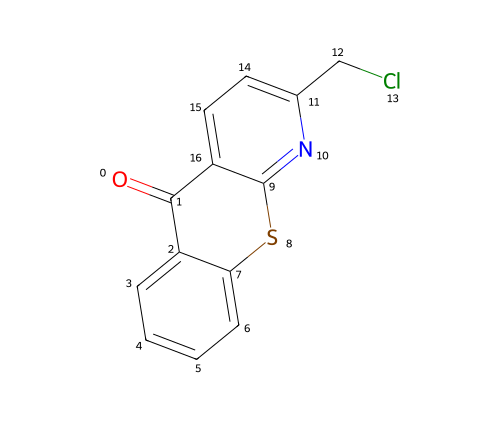 O=c1c2ccccc2sc2nc(CCl)ccc12